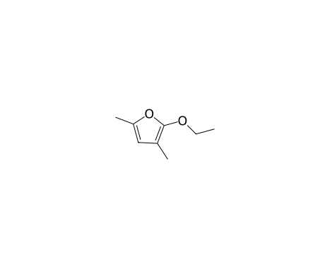 CCOc1oc(C)cc1C